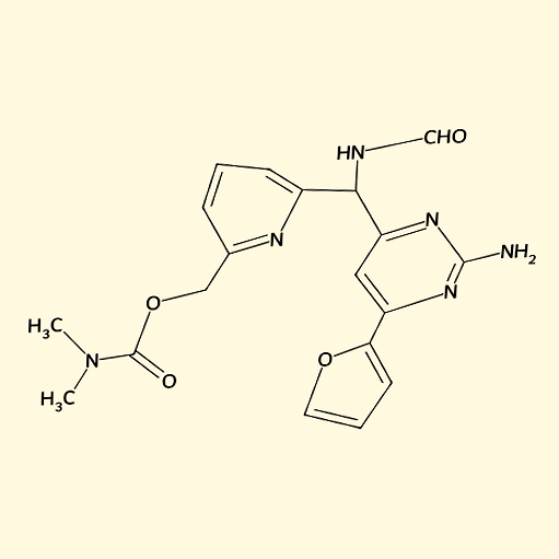 CN(C)C(=O)OCc1cccc(C(NC=O)c2cc(-c3ccco3)nc(N)n2)n1